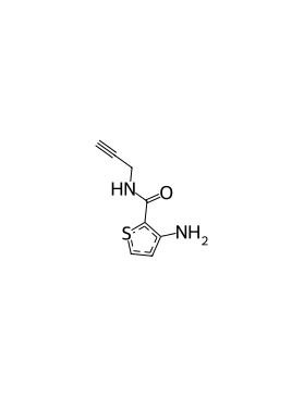 C#CCNC(=O)c1sccc1N